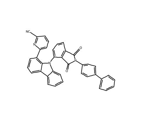 N#Cc1cccc(-c2cccc3c4ccccc4n(-c4cccc5c4C(=O)N(c4ccc(-c6ccccc6)cc4)C5=O)c23)n1